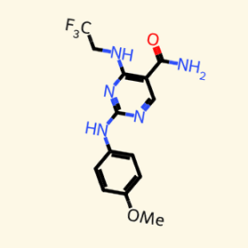 COc1ccc(Nc2ncc(C(N)=O)c(NCC(F)(F)F)n2)cc1